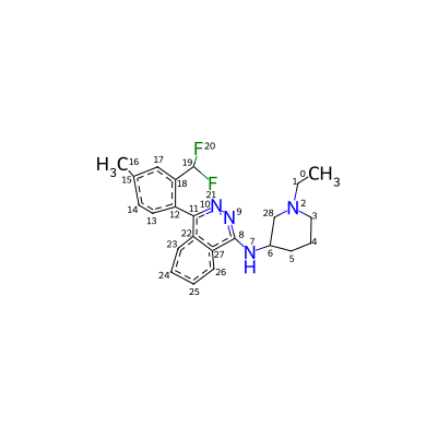 CCN1CCCC(Nc2nnc(-c3ccc(C)cc3C(F)F)c3ccccc23)C1